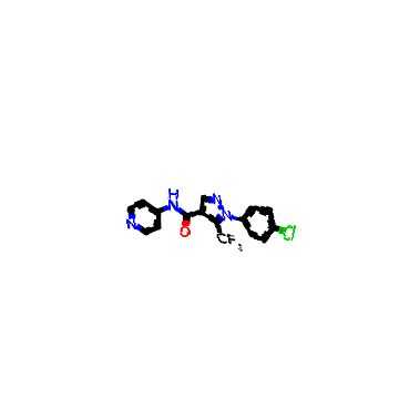 O=C(Nc1ccncc1)c1cnn(-c2ccc(Cl)cc2)c1C(F)(F)F